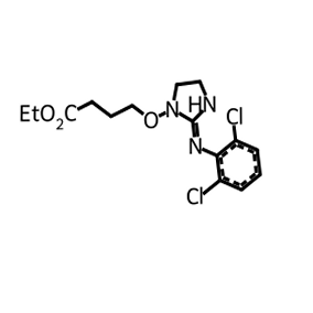 CCOC(=O)CCCON1CCN/C1=N\c1c(Cl)cccc1Cl